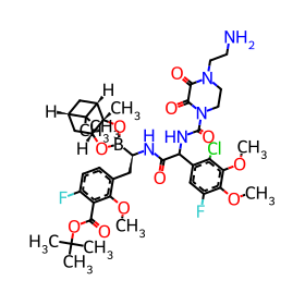 COc1c(F)cc(C(NC(=O)N2CCN(CCN)C(=O)C2=O)C(=O)N[C@@H](Cc2ccc(F)c(C(=O)OC(C)(C)C)c2OC)B2O[C@@H]3C[C@@H]4C[C@@H](C4(C)C)[C@]3(C)O2)c(Cl)c1OC